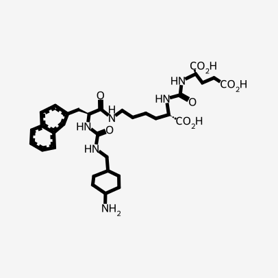 NC1CCC(CNC(=O)N[C@@H](Cc2ccc3ccccc3c2)C(=O)NCCCC[C@H](NC(=O)N[C@@H](CCC(=O)O)C(=O)O)C(=O)O)CC1